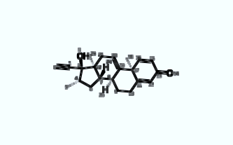 C#C[C@@]1(O)[C@@H](C)C[C@H]2[C@@H]3CCC4=CC(=O)C=C[C@]4(C)C3=CC[C@@]21C